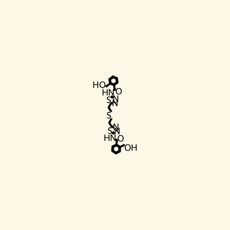 O=C(Nc1nnc(CCSCCc2nnc(NC(=O)c3ccccc3CO)s2)s1)c1ccccc1CO